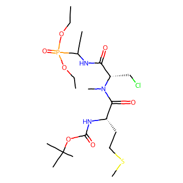 CCOP(=O)(OCC)C(C)NC(=O)[C@H](CCl)N(C)C(=O)[C@H](CCSC)NC(=O)OC(C)(C)C